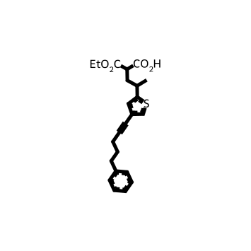 CCOC(=O)C(CC(C)c1cc(C#CCCCc2ccccc2)cs1)C(=O)O